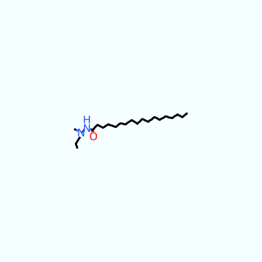 CCCCCCCCCCCCCCCCCC(=O)NN(C)CCC